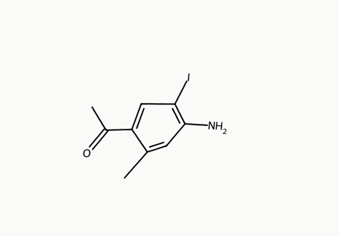 CC(=O)c1cc(I)c(N)cc1C